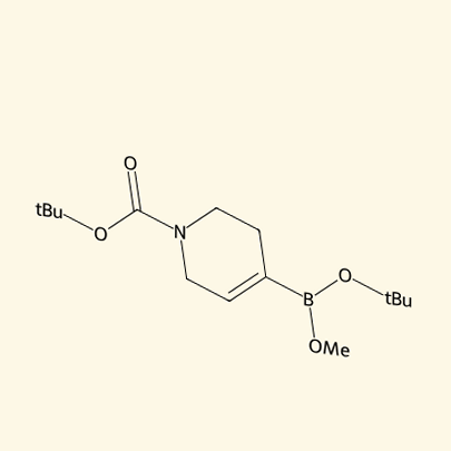 COB(OC(C)(C)C)C1=CCN(C(=O)OC(C)(C)C)CC1